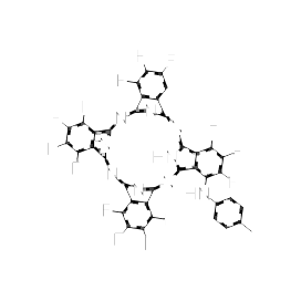 Cc1ccc(Nc2c(F)c(F)c(F)c3c4nc5nc(nc6c7c(F)c(F)c(F)c(F)c7c(nc7nc(nc([nH]4)c23)-c2c(F)c(F)c(F)c(F)c2-7)n6F)-c2c-5cc(F)c(F)c2F)cc1